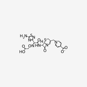 Nc1nc(C(=NOCC(=O)O)C(=O)NC2C(=O)N3C=C(C[n+]4ccc(C(=O)[O-])cc4)CS[C@H]23)ns1